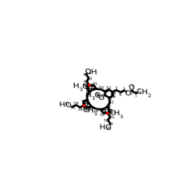 C=CC(=O)OCCCC1=CC2Cc3cc(CCCO)cc(c3OC)Cc3cc(CCCO)cc(c3OC)Cc3cc(CCCO)cc(c3OC)CC(=C1)C2OC